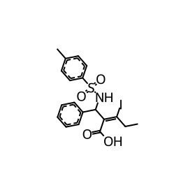 CCC(I)=C(C(=O)O)C(NS(=O)(=O)c1ccc(C)cc1)c1ccccc1